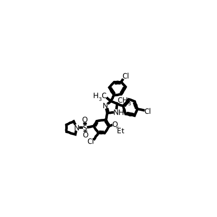 CCOc1cc(Cl)c(S(=O)(=O)N2CCCC2)cc1C1=NC(C)(c2ccc(Cl)cc2)C(C)(c2ccc(Cl)cc2)N1